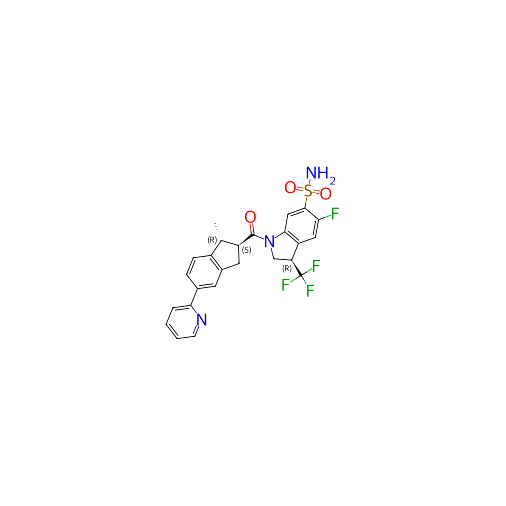 C[C@H]1c2ccc(-c3ccccn3)cc2C[C@@H]1C(=O)N1C[C@H](C(F)(F)F)c2cc(F)c(S(N)(=O)=O)cc21